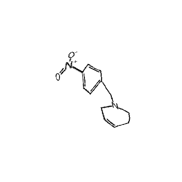 O=[N+]([O-])c1ccc(CN2CC=CCC2)cc1